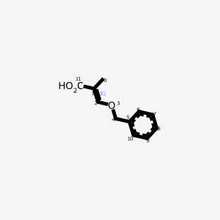 C/C(=C\OCc1ccccc1)C(=O)O